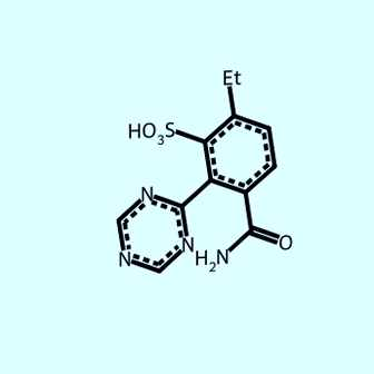 CCc1ccc(C(N)=O)c(-c2ncncn2)c1S(=O)(=O)O